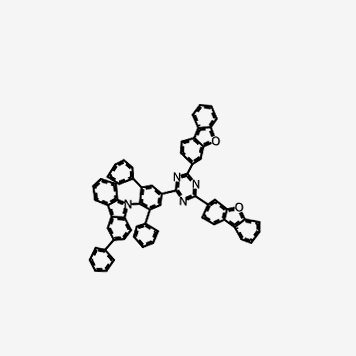 c1ccc(-c2ccc3c(c2)c2ccccc2n3-c2c(-c3ccccc3)cc(-c3nc(-c4ccc5c(c4)oc4ccccc45)nc(-c4ccc5c(c4)oc4ccccc45)n3)cc2-c2ccccc2)cc1